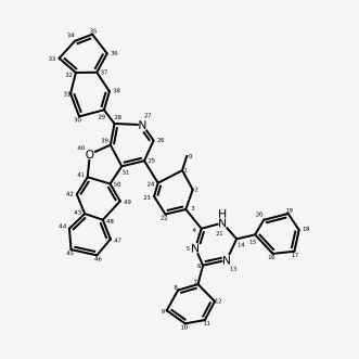 CC1CC(C2=NC(c3ccccc3)=NC(c3ccccc3)N2)=CC=C1c1cnc(-c2ccc3ccccc3c2)c2oc3cc4ccccc4cc3c12